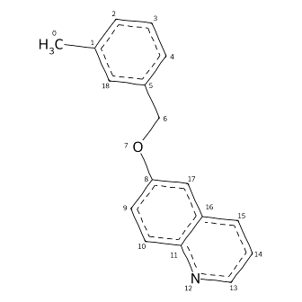 Cc1cccc(COc2ccc3ncccc3c2)c1